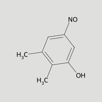 Cc1cc(N=O)cc(O)c1C